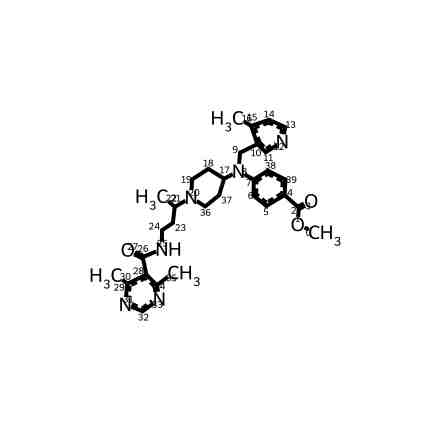 COC(=O)c1ccc(N(Cc2cnccc2C)C2CCN(C(C)CCNC(=O)c3c(C)ncnc3C)CC2)cc1